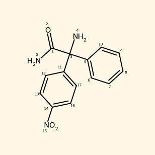 NC(=O)C(N)(c1ccccc1)c1ccc([N+](=O)[O-])cc1